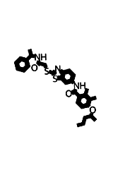 CCCC(C)Oc1ccc(C(=O)Nc2ccc3nc(SCC(=O)NC(C)c4ccccc4)sc3c2)c(C)c1C